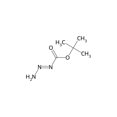 CC(C)(C)OC(=O)N=NN